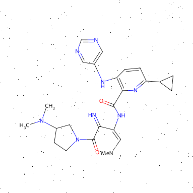 CN/C=C(/NC(=O)c1nc(C2CC2)ccc1Nc1cncnc1)C(=N)C(=O)N1CCC(N(C)C)C1